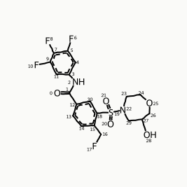 O=C(Nc1cc(F)c(F)c(F)c1)c1ccc(CF)c(S(=O)(=O)N2CCOCC(O)C2)c1